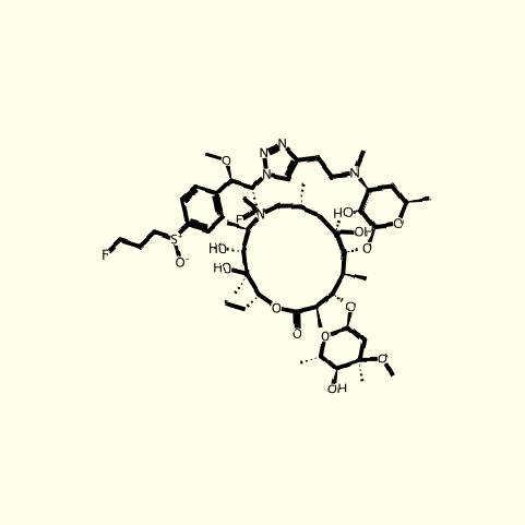 CC[C@H]1OC(=O)[C@H](C)[C@@H](O[C@H]2C[C@@](C)(OC)[C@@H](O)[C@H](C)O2)[C@H](C)[C@@H](O[C@@H]2O[C@H](C)C[C@H](N(C)CCc3cn([C@H](CF)[C@H](OC)c4ccc([S+]([O-])CCCF)cc4)nn3)[C@H]2O)[C@](C)(O)C[C@@H](C)CN(C)[C@H](C)[C@@H](O)[C@]1(C)O